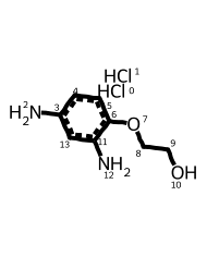 Cl.Cl.Nc1ccc(OCCO)c(N)c1